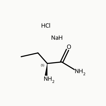 CC[C@H](N)C(N)=O.Cl.[NaH]